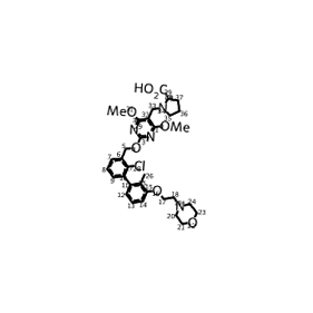 COc1nc(OCc2cccc(-c3cccc(OCCN4CCOCC4)c3C)c2Cl)nc(OC)c1CN1CCC[C@H]1C(=O)O